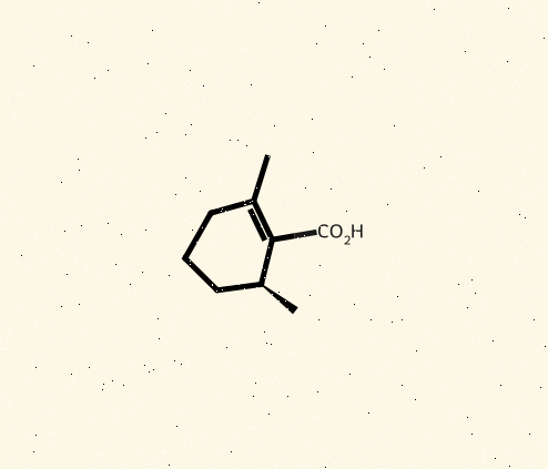 CC1=C(C(=O)O)[C@@H](C)CCC1